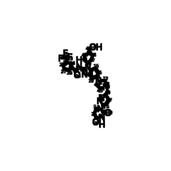 O=C1CCN(c2ccc(CN3CCN(c4ccc5c(c4)nc(NC(=O)c4cccc(C(F)(F)F)c4)n5C4CCC(CO)CC4)CC3)nn2)C(=O)N1